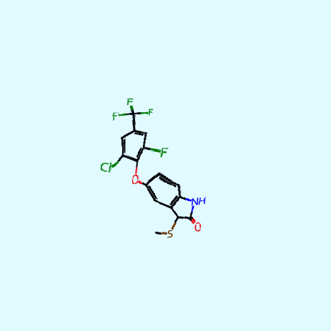 CSC1C(=O)Nc2ccc(Oc3c(F)cc(C(F)(F)F)cc3Cl)cc21